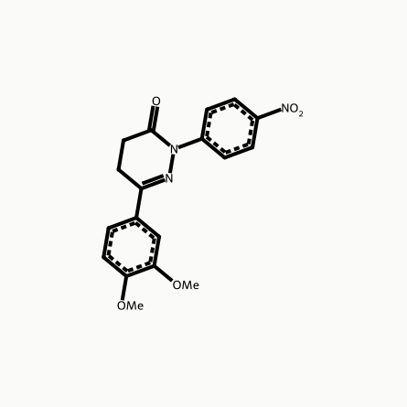 COc1ccc(C2=NN(c3ccc([N+](=O)[O-])cc3)C(=O)CC2)cc1OC